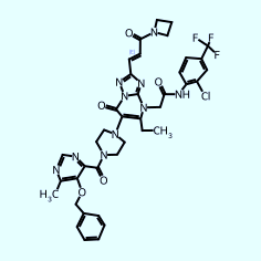 CCc1c(N2CCN(C(=O)c3ncnc(C)c3OCc3ccccc3)CC2)c(=O)n2nc(/C=C/C(=O)N3CCC3)nc2n1CC(=O)Nc1ccc(C(F)(F)F)cc1Cl